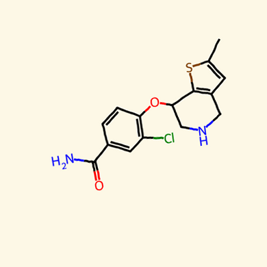 Cc1cc2c(s1)C(Oc1ccc(C(N)=O)cc1Cl)CNC2